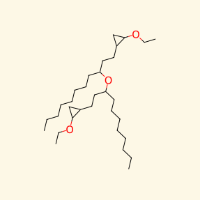 CCCCCCCCC(CCC1CC1OCC)OC(CCCCCCCC)CCC1CC1OCC